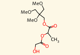 COCC(COC)(COC(=O)C(C)OC(=O)CO)OC